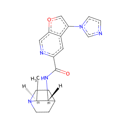 C[C@H]1[C@H](NC(=O)c2cc3c(-n4ccnc4)coc3cn2)C2CCN1CC2